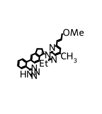 CCc1nc2c(C)cc(C=CCOC)nc2n1[C@H]1CCc2cc(-c3ccccc3-c3nnn[nH]3)ccc21